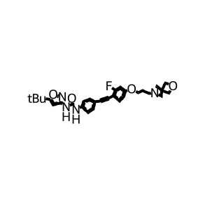 CC(C)(C)c1cc(NC(=O)Nc2ccc(C#Cc3ccc(OCCCN4CC5(COC5)C4)cc3F)cc2)no1